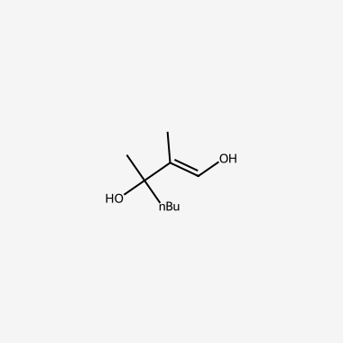 CCCCC(C)(O)C(C)=CO